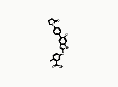 Cc1ccc(Oc2nc3cc(-c4ccc(N5CCCC5=O)cc4)c(Cl)cc3[nH]2)cc1C(=O)O